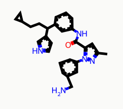 Cc1cc(C(=O)Nc2cccc(C(CCC3CC3)c3cc[nH]c3)c2)n(-c2cccc(CN)c2)n1